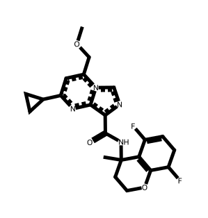 COCc1cc(C2CC2)nc2c(C(=O)NC3(C)CCOC4=C3C(F)=CCC4F)ncn12